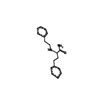 NC(=O)C(CCc1ccccc1)NCCc1ccccc1